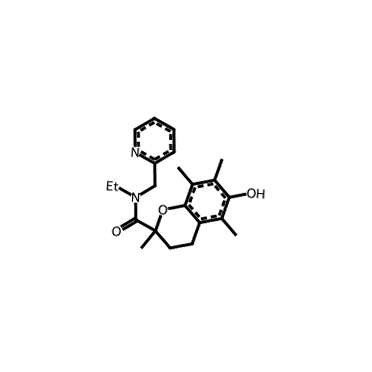 CCN(Cc1ccccn1)C(=O)C1(C)CCc2c(C)c(O)c(C)c(C)c2O1